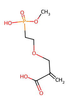 C=C(COCCP(=O)(O)OC)C(=O)O